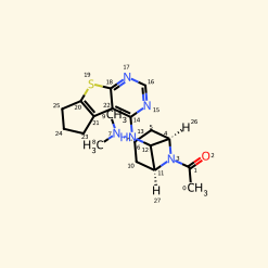 CC(=O)N1[C@@H]2C[C@@H](N(C)C)C[C@H]1C2Nc1ncnc2sc3c(c12)CCC3